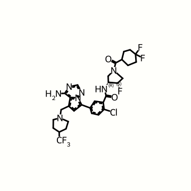 Nc1ncnn2c(-c3ccc(Cl)c(C(=O)N[C@@H]4CN(C(=O)C5CCC(F)(F)CC5)C[C@@H]4F)c3)cc(CN3CCC(C(F)(F)F)CC3)c12